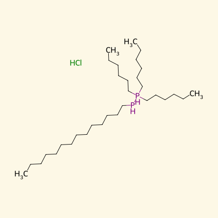 CCCCCCCCCCCCCCP[PH](CCCCCC)(CCCCCC)CCCCCC.Cl